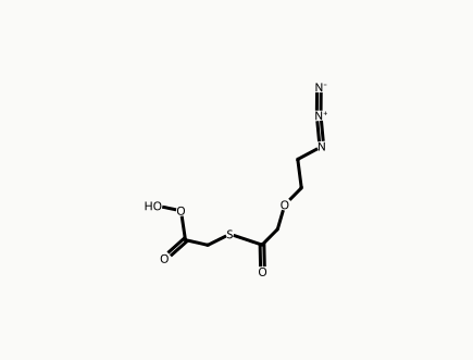 [N-]=[N+]=NCCOCC(=O)SCC(=O)OO